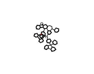 c1ccc(C2CCc3cc4oc5ccccc5c4c(-c4ccc5c6ccccc6c6ccccc6c5c4)c3-c3cc(N(c4ccccc4)c4ccc(C5(c6ccccc6)c6ccccc6-c6ccccc65)cc4)ccc32)cc1